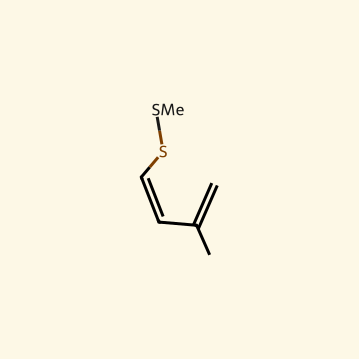 C=C(C)/C=C\SSC